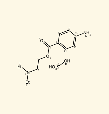 CCN(CC)CCOC(=O)c1ccc(N)cc1.O=S(=O)(O)O